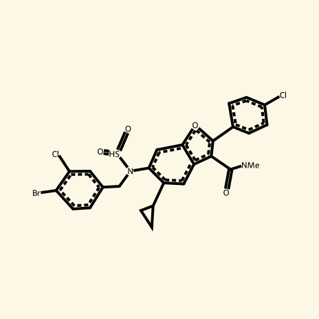 CNC(=O)c1c(-c2ccc(Cl)cc2)oc2cc(N(Cc3ccc(Br)c(Cl)c3)[SH](=O)=O)c(C3CC3)cc12